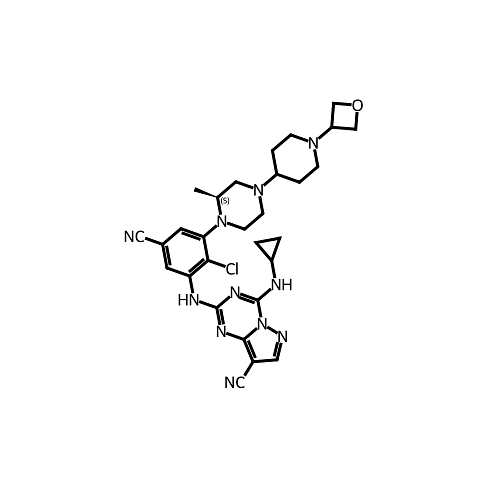 C[C@H]1CN(C2CCN(C3COC3)CC2)CCN1c1cc(C#N)cc(Nc2nc(NC3CC3)n3ncc(C#N)c3n2)c1Cl